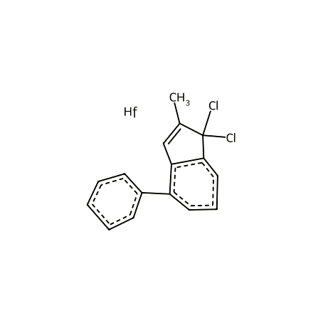 CC1=Cc2c(-c3ccccc3)cccc2C1(Cl)Cl.[Hf]